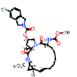 CC(C)(C)OC(=O)N[C@H]1CCCCC/C=C/[C@@H]2C[C@@]2(C(=O)O)NC(=O)[C@@H]2C[C@@H](OC(=O)N3Cc4ccc(Cl)cc4C3)CN2C1=O